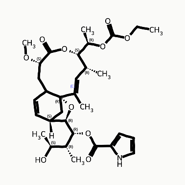 CCOC(=O)O[C@H](C)[C@H]1OC(=O)[C@@H](OC)CC2C=C[C@@H]3C[C@]2(O[C@H]3[C@H](OC(=O)c2ccc[nH]2)[C@H](C)[C@H](C)O)/C(C)=C/[C@H]1C